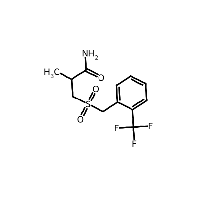 CC(CS(=O)(=O)Cc1ccccc1C(F)(F)F)C(N)=O